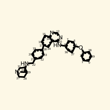 c1ccc(Oc2ccc(Nc3ncnc4ccc(-c5ccc(CNC6CN7CCC6CC7)cc5)cc34)cc2)cc1